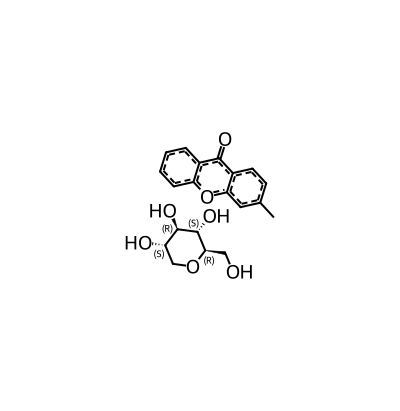 Cc1ccc2c(=O)c3ccccc3oc2c1.OC[C@H]1OC[C@H](O)[C@@H](O)[C@@H]1O